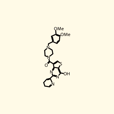 COc1ccc(CN2CCN(C(=O)c3csc4c(O)nc(C5=CCCC=N5)nc34)CC2)cc1OC